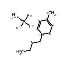 CCCCN1C=CC(C)=CC1.F[B-](F)(F)F.[H+]